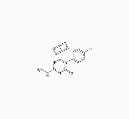 NNc1ncn(-c2ccc(Cl)cc2)c(=O)n1.c1cc2ccc1-2